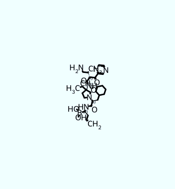 C=CC[C@H](NC(=O)[C@H](CC1CCCCC1)N1CCC(NC(=O)[C@@H](C(=O)c2cnccn2)C(C)CN)(C(C)C)C1=O)B(O)O